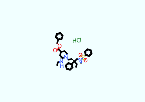 CCN[C@H]1CC(C(=O)OCc2ccccc2)CCN1CC[C@](CC)(CN(C)S(=O)(=O)c1ccccc1)c1ccccc1.Cl